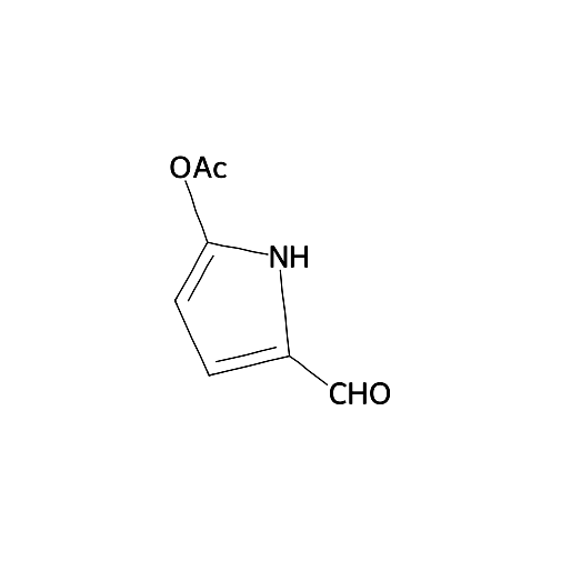 CC(=O)Oc1ccc(C=O)[nH]1